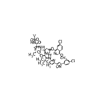 C=C[C@@H]1C[C@]1(NC(=O)[C@@H]1C[C@@H](Oc2ncc(OC)c3ccc(Cl)cc23)CN1C(=O)[C@@H](Nc1nc(-c2cc(-c3ccc(Cl)cc3)no2)cs1)C(C)(C)C)C(=O)NS(=O)(=O)C1CC1